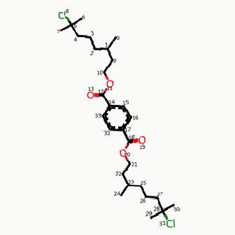 CC(CCCC(C)(C)Cl)CCOC(=O)c1ccc(C(=O)OCCC(C)CCCC(C)(C)Cl)cc1